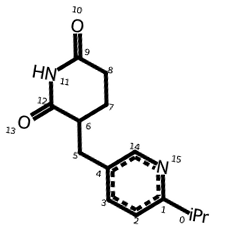 CC(C)c1ccc(CC2CCC(=O)NC2=O)cn1